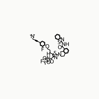 CC(F)S(=O)(=O)NC(=O)c1nc(N2CCc3cccc(C(=O)Nc4nc5ccccc5s4)c3C2)sc1CCCOc1ccc(C#CCN(C)C)cc1F